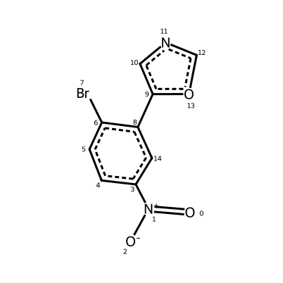 O=[N+]([O-])c1ccc(Br)c(-c2cnco2)c1